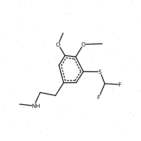 CNCCc1cc(OC)c(OC)c(SC(F)F)c1